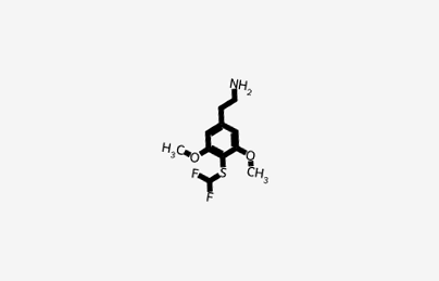 COc1cc(CCN)cc(OC)c1SC(F)F